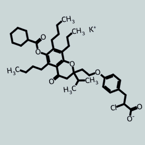 CCCCc1c(CCC)c2c(c(CCCC)c1OC(=O)C1CCCCC1)C(=O)CC(CCOc1ccc(CC(Cl)C(=O)[O-])cc1)(C(C)C)O2.[K+]